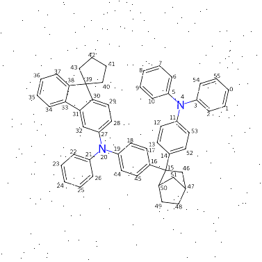 c1ccc(N(c2ccccc2)c2ccc(C3(c4ccc(N(c5ccccc5)c5ccc6c(c5)-c5ccccc5C65CCCC5)cc4)CC4CCC3C4)cc2)cc1